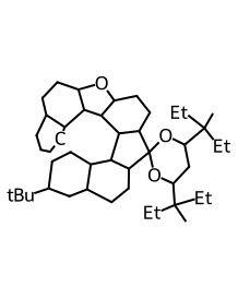 CCC(C)(CC)C1CC(C(C)(CC)CC)OC2(O1)C1CCC3CC(C(C)(C)C)CCC3C1C1C3C(CCC12)OC1CCC2CCCCC2C13